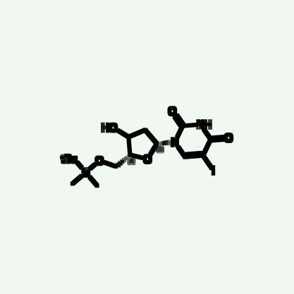 CC(C)(C)[Si](C)(C)OC[C@H]1O[C@@H](n2cc(I)c(=O)[nH]c2=O)CC1O